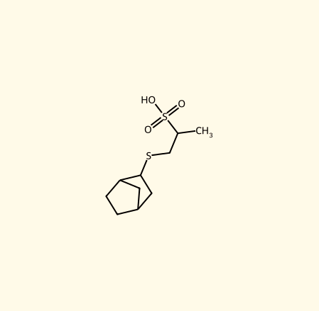 CC(CSC1CC2CCC1C2)S(=O)(=O)O